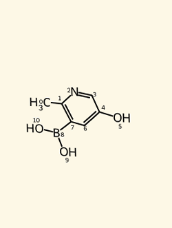 Cc1ncc(O)cc1B(O)O